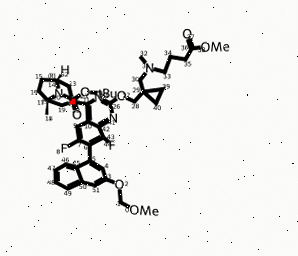 COCOc1cc(-c2c(F)cc3c(N4C[C@H]5CC[C@@](C)(C4)N5C(=O)OC(C)(C)C)nc(OCC4(CN(C)CCCC(=O)OC)CC4)nc3c2F)c2ccccc2c1